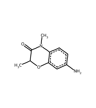 CC1Oc2cc(N)ccc2N(C)C1=O